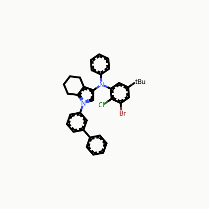 CC(C)(C)c1cc(Br)c(Cl)c(N(c2ccccc2)c2cn(-c3cccc(-c4ccccc4)c3)c3c2CCCC3)c1